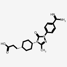 Cc1nn(-c2ccc(C(=N)N)cc2)c(=O)n1[C@H]1CC[C@@H](CCC(=O)O)CC1